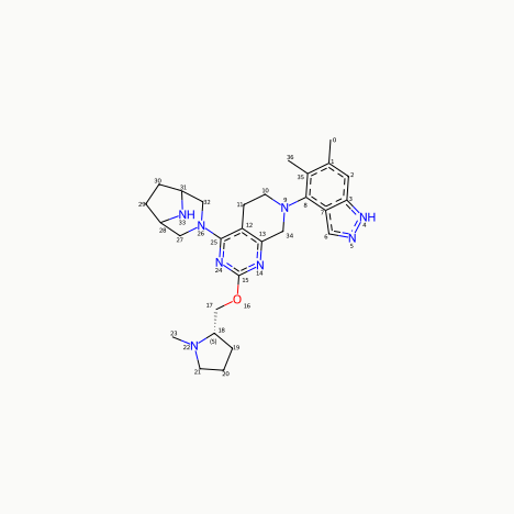 Cc1cc2[nH]ncc2c(N2CCc3c(nc(OC[C@@H]4CCCN4C)nc3N3CC4CCC(C3)N4)C2)c1C